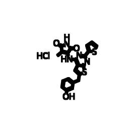 CC1=C(Nc2nc(-c3cccs3)nc3sc(Cc4cccc(O)c4)cc23)C(=O)NC1=O.Cl